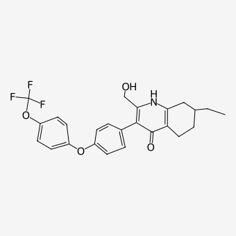 CCC1CCc2c([nH]c(CO)c(-c3ccc(Oc4ccc(OC(F)(F)F)cc4)cc3)c2=O)C1